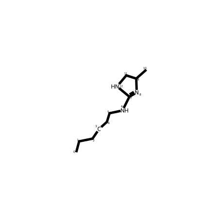 CCCCCCNC1=NC(C)CN1